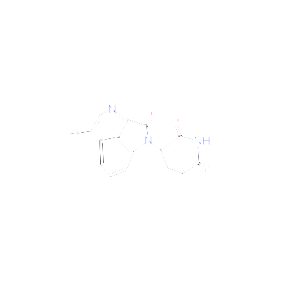 O=C1CCC(N2C(=O)c3ncc(I)c4cccc2c34)C(=O)N1